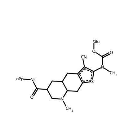 CCCNC(=O)C1CC2Cc3c(sc(N(C)C(=O)OC(C)(C)C)c3C#N)CC2N(C)C1